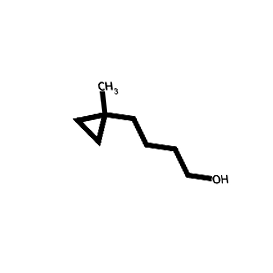 CC1(CCCCO)CC1